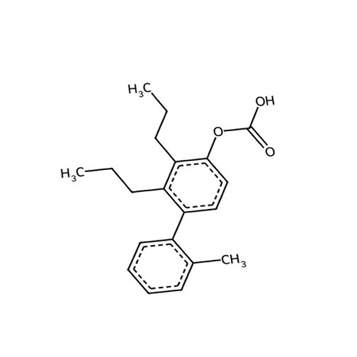 CCCc1c(OC(=O)O)ccc(-c2ccccc2C)c1CCC